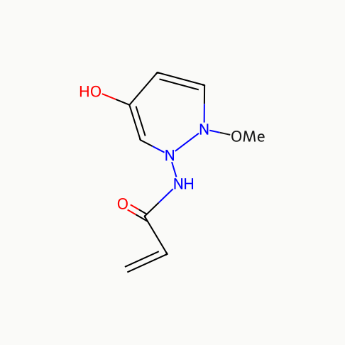 C=CC(=O)NN1C=C(O)C=CN1OC